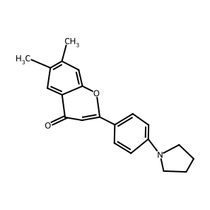 Cc1cc2oc(-c3ccc(N4CCCC4)cc3)cc(=O)c2cc1C